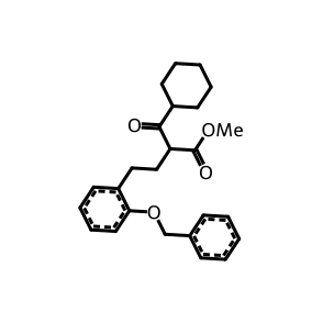 COC(=O)C(CCc1ccccc1OCc1ccccc1)C(=O)C1CCCCC1